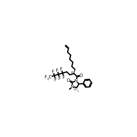 C=CCCCCCC[C@H](CCC(F)(F)C(F)(F)C(F)(F)C(F)(F)F)C(=O)N1C(=O)N(C)[C@@H](C)C1c1ccccc1